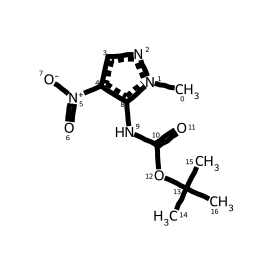 Cn1ncc([N+](=O)[O-])c1NC(=O)OC(C)(C)C